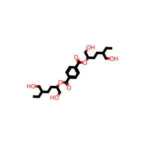 CCC(CO)CCC(CO)OC(=O)c1ccc(C(=O)OC(CO)CCC(CC)CO)cc1